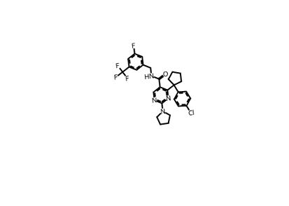 O=C(NCc1cc(F)cc(C(F)(F)F)c1)c1cnc(N2CCCC2)nc1C1(c2ccc(Cl)cc2)CCCC1